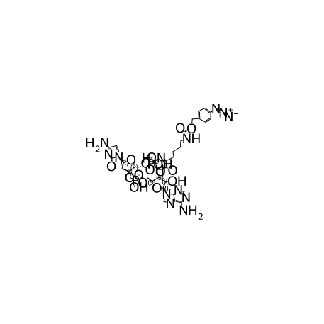 [N-]=[N+]=Nc1ccc(COC(=O)NCCCCC(N)C(=O)O[C@H]2[C@@H](O)[C@H](n3cnc4c(N)ncnc43)O[C@H]2COP(=O)(O)O[C@H]2C[C@H](n3ccc(N)nc3=O)O[C@@H]2COP(=O)(O)O)cc1